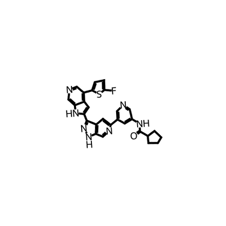 O=C(Nc1cncc(-c2cc3c(-c4cc5c(-c6ccc(F)s6)cncc5[nH]4)n[nH]c3cn2)c1)C1CCCC1